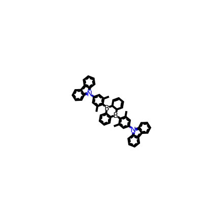 Cc1cc(-n2c3ccccc3c3ccccc32)cc(C)c1B1c2ccccc2B(c2c(C)cc(-n3c4ccccc4c4ccccc43)cc2C)C2C=CC=CC12